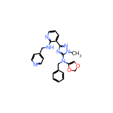 Cn1nc(-c2cccnc2NCc2ccncc2)nc1N(Cc1ccccc1)C1=COCO1